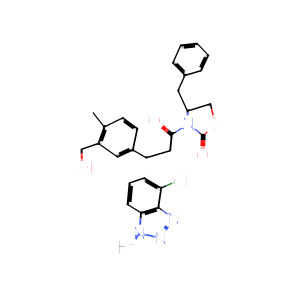 CCn1nnc2c(Cl)c([C@H](c3ccc(C)c(CO)c3)[C@@H](C)C(=O)N3C(=O)OCC3Cc3ccccc3)ccc21